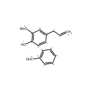 C=CCc1ccc(O)c(OC)c1.O=Cc1ccccc1